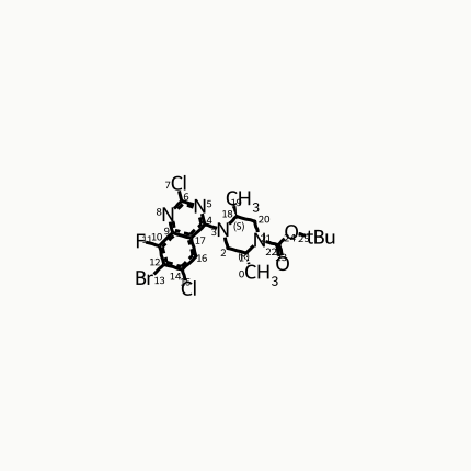 C[C@@H]1CN(c2nc(Cl)nc3c(F)c(Br)c(Cl)cc23)[C@@H](C)CN1C(=O)OC(C)(C)C